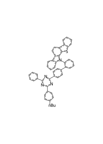 CCCCc1ccc(-c2nc(-c3ccccc3)nc(-c3ccc(-c4ccccc4-n4c5ccccc5c5ccc6c7ccccc7sc6c54)cc3)n2)cc1